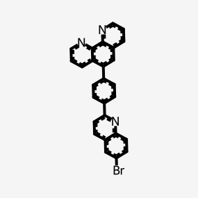 Brc1ccc2nc(-c3ccc(-c4cc5cccnc5c5ncccc45)cc3)ccc2c1